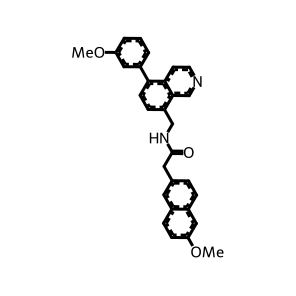 COc1cccc(-c2ccc(CNC(=O)Cc3ccc4cc(OC)ccc4c3)c3cnccc23)c1